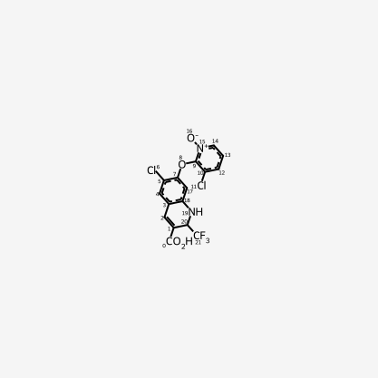 O=C(O)C1=Cc2cc(Cl)c(Oc3c(Cl)ccc[n+]3[O-])cc2NC1C(F)(F)F